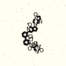 COc1nc(-c2cccc(-c3cccc(NC(=O)c4cn(C)c(=O)n(C)c4=O)c3Cl)c2Cl)cc2c1C(N1CCN3C(=O)CC[C@H]3C1)CC2